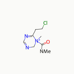 CNC(=O)[N+]1(C)CN=CN=C1CCCl